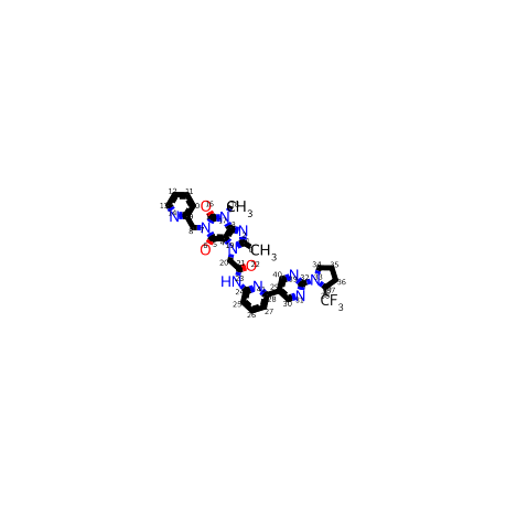 Cc1nc2c(c(=O)n(Cc3ccccn3)c(=O)n2C)n1CC(=O)Nc1cccc(-c2cnc(N3CCC[C@H]3C(F)(F)F)nc2)n1